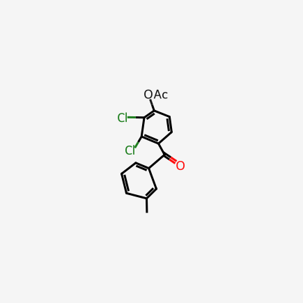 CC(=O)Oc1ccc(C(=O)c2cccc(C)c2)c(Cl)c1Cl